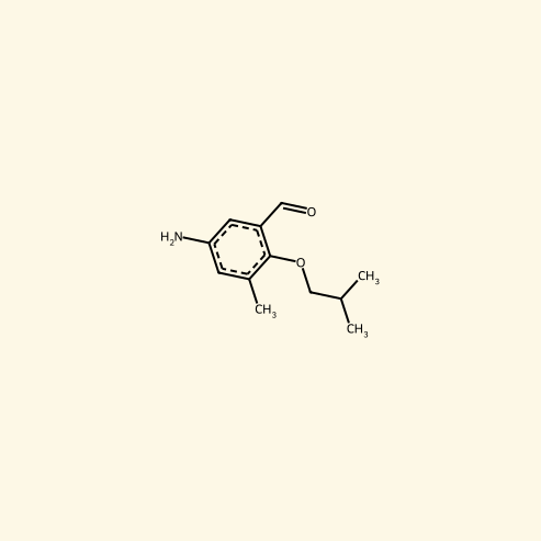 Cc1cc(N)cc(C=O)c1OCC(C)C